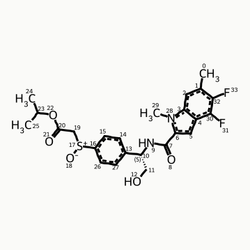 Cc1cc2c(cc(C(=O)N[C@H](CO)c3ccc([S+]([O-])CC(=O)OC(C)C)cc3)n2C)c(F)c1F